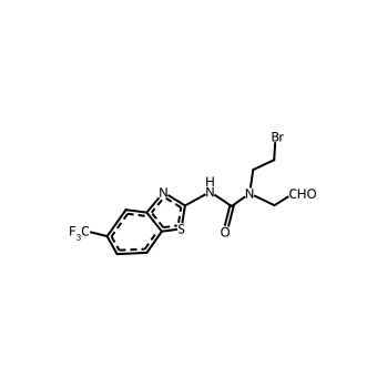 O=CCN(CCBr)C(=O)Nc1nc2cc(C(F)(F)F)ccc2s1